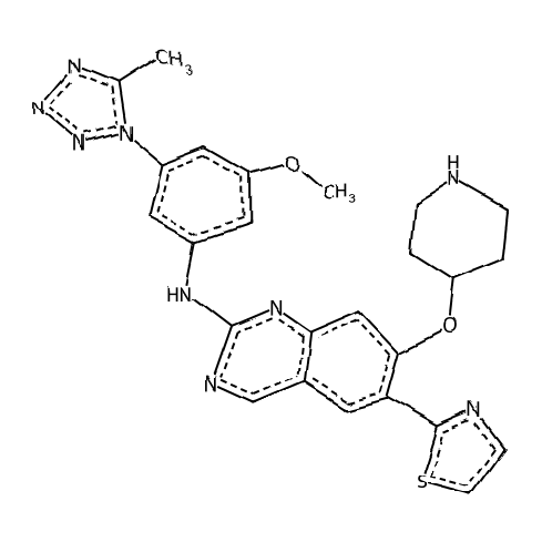 COc1cc(Nc2ncc3cc(-c4nccs4)c(OC4CCNCC4)cc3n2)cc(-n2nnnc2C)c1